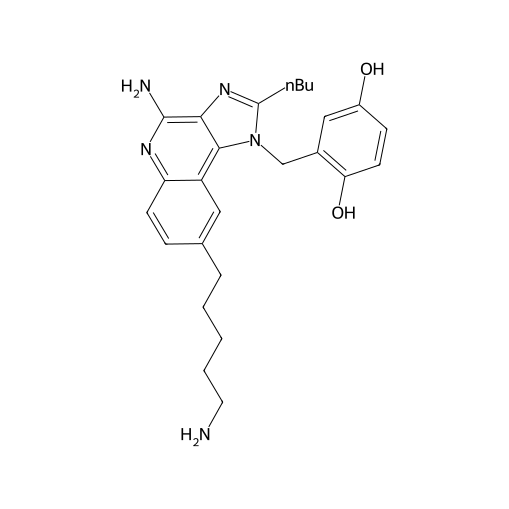 CCCCc1nc2c(N)nc3ccc(CCCCCN)cc3c2n1Cc1cc(O)ccc1O